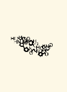 Cc1ccc(S(=O)(=O)N2CC[C@@H]3[C@H](CO)Nc4ccc(-c5cccc(NC(=O)C=CNc6cccc7c6C(=O)N(C6CCC(=O)NC6=O)C7=O)c5)cc4[C@@H]32)cc1